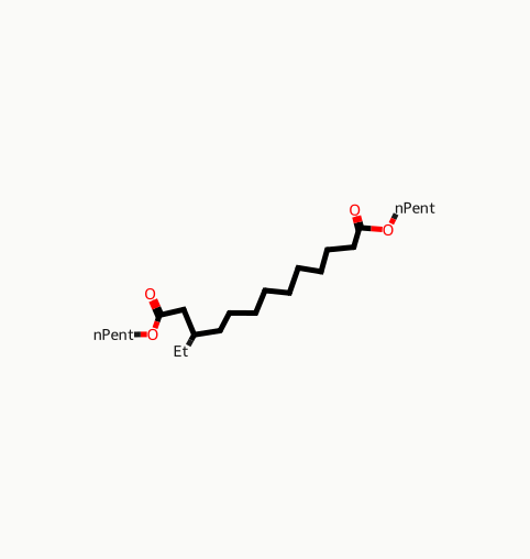 CCCCCOC(=O)CCCCCCCCCC(CC)CC(=O)OCCCCC